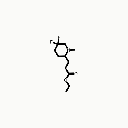 CCOC(=O)CCC1CCC(F)(F)CN1C